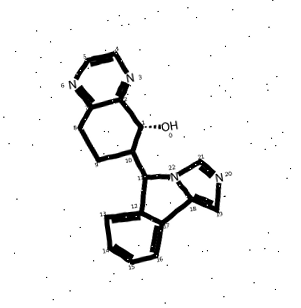 O[C@H]1c2nccnc2CCC1C1c2ccccc2-c2cncn21